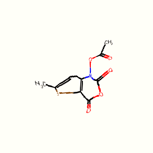 CC(=O)On1c(=O)oc(=O)c2sc(C)cc21